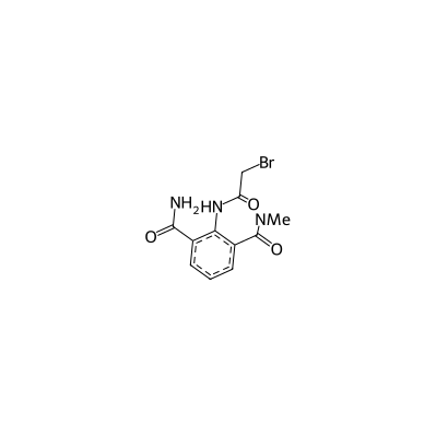 CNC(=O)c1cccc(C(N)=O)c1NC(=O)CBr